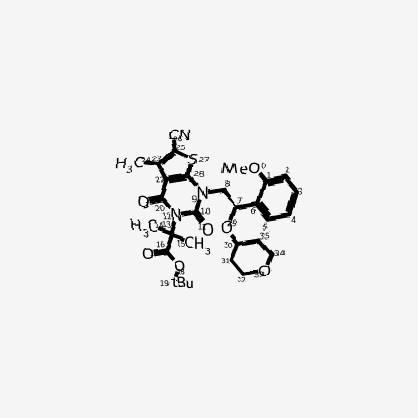 COc1ccccc1[C@H](Cn1c(=O)n(C(C)(C)C(=O)OC(C)(C)C)c(=O)c2c(C)c(C#N)sc21)OC1CCOCC1